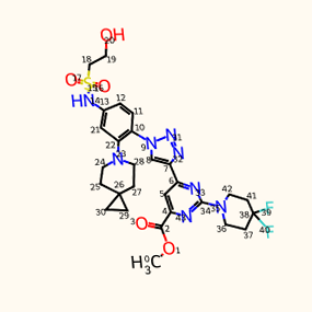 COC(=O)c1cc(-c2cn(-c3ccc(NS(=O)(=O)CCO)cc3N3CCC4(CC3)CC4)nn2)nc(N2CCC(F)(F)CC2)n1